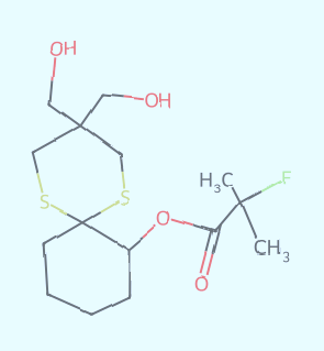 CC(C)(F)C(=O)OC1CCCCC12SCC(CO)(CO)CS2